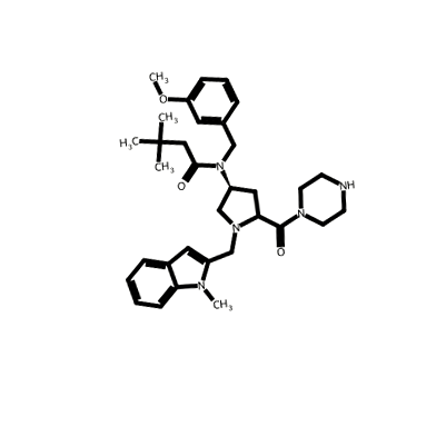 COc1cccc(CN(C(=O)CC(C)(C)C)[C@H]2CC(C(=O)N3CCNCC3)N(Cc3cc4ccccc4n3C)C2)c1